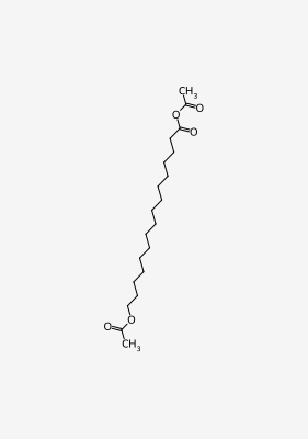 CC(=O)OCCCCCCCCCCCCCCCC(=O)OC(C)=O